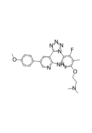 COc1ccc(-c2cnc(N)c(-c3nnnn3-c3ccc(OCCN(C)C)c(C)c3F)c2)cc1